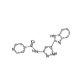 O=C(Nc1cc(-c2nc3ccccc3[nH]2)[nH]n1)c1ccncc1